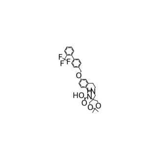 CC1(C)OCC(CN2CCc3cc(OCc4ccc(-c5ccccc5C(F)(F)F)cc4)ccc3C2)(NC(=O)O)CO1